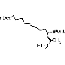 CCCCCCCCCCCCCCCCCCCC(C=C(C)C(=O)O)CCCCC